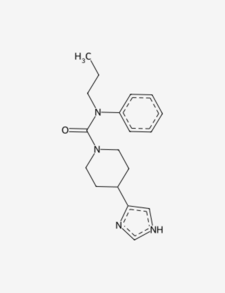 CCCN(C(=O)N1CCC(c2c[nH]cn2)CC1)c1ccccc1